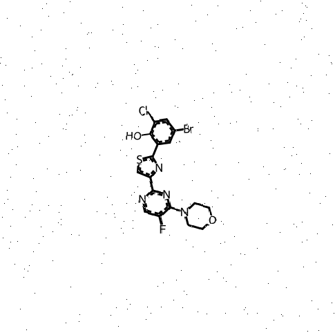 Oc1c(Cl)cc(Br)cc1-c1nc(-c2ncc(F)c(N3CCOCC3)n2)cs1